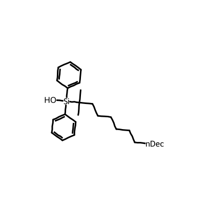 CCCCCCCCCCCCCCCCC(C)(C)[Si](O)(c1ccccc1)c1ccccc1